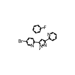 Cn1nc(-c2ccccn2)cc1-c1ccc(Br)cn1.Fc1ccccc1